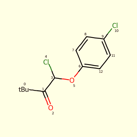 CC(C)(C)C(=O)C(Cl)Oc1ccc(Cl)cc1